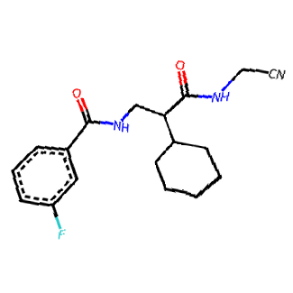 N#CCNC(=O)C(CNC(=O)c1cccc(F)c1)C1CCCCC1